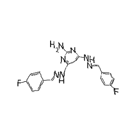 Nc1nc(NN=Cc2ccc(F)cc2)cc(NN=Cc2ccc(F)cc2)n1